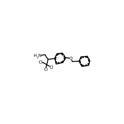 NCC(c1ccc(OCc2ccccc2)cc1)C(Cl)(Cl)Cl